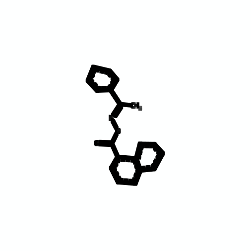 C/C(=N\OC(=O)c1cccc2ccccc12)c1ccccc1